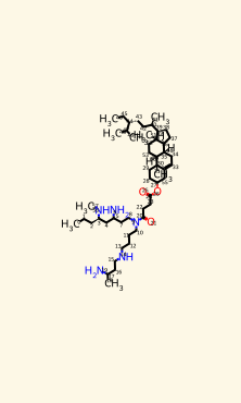 CCC[C@H](CC(N)CCN(CCCCNCCC(C)N)C(=O)CCC(=O)O[C@H]1CC[C@@]2(C)C(=CC[C@H]3[C@@H]4CC[C@H]([C@H](C)CC[C@@H](CC)C(C)C)[C@@]4(C)CC[C@@H]32)C1)NC